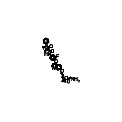 Cc1c(C(=O)Nc2ccc(Oc3ccnc4cc(OCCCC5(OC(=O)CN)CC5)ccc34)c(F)c2)c(=O)n(-c2ccccc2)n1C